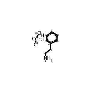 Cl.NCCc1ccccc1.[Cl][Cu][Cl]